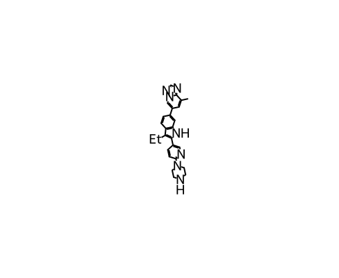 CCc1c(-c2ccc(N3CCNCC3)nc2)[nH]c2cc(-c3cc(C)c4ncnn4c3)ccc12